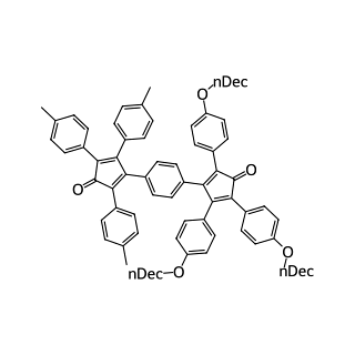 CCCCCCCCCCOc1ccc(C2=C(c3ccc(OCCCCCCCCCC)cc3)C(c3ccc(C4=C(c5ccc(C)cc5)C(=O)C(c5ccc(C)cc5)=C4c4ccc(C)cc4)cc3)=C(c3ccc(OCCCCCCCCCC)cc3)C2=O)cc1